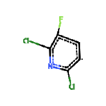 Fc1c[c]c(Cl)nc1Cl